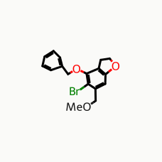 COCc1cc2c(c(OCc3ccccc3)c1Br)CCO2